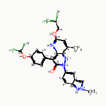 Cn1cc2cc(-n3nc4c(C(F)(F)F)cc(OCC(F)F)nc4c(-c4ccc(OC(F)F)cc4)c3=O)ccc2n1